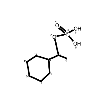 CC(OP(=O)(O)O)C1CCCCC1